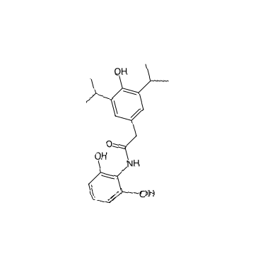 CC(C)c1cc(CC(=O)Nc2c(O)cccc2O)cc(C(C)C)c1O